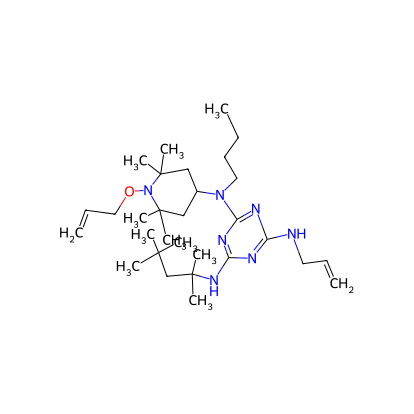 C=CCNc1nc(NC(C)(C)CC(C)(C)C)nc(N(CCCC)C2CC(C)(C)N(OCC=C)C(C)(C)C2)n1